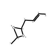 CC=CCC1OC(C)O1